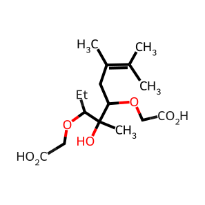 CCC(OCC(=O)O)C(C)(O)C(CC(C)=C(C)C)OCC(=O)O